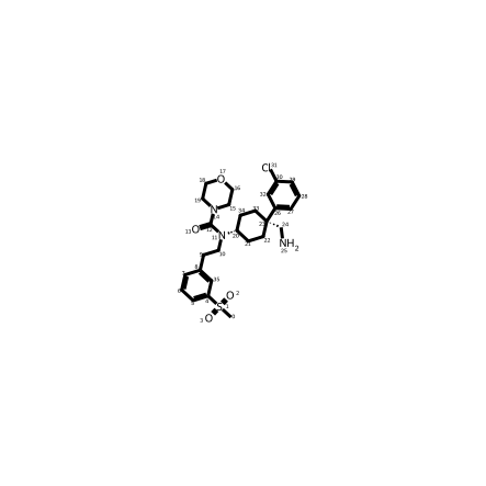 CS(=O)(=O)c1cccc(CCN(C(=O)N2CCOCC2)[C@H]2CC[C@](CN)(c3cccc(Cl)c3)CC2)c1